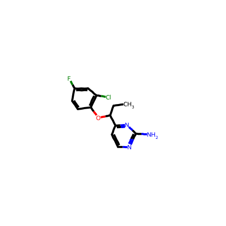 CCC(Oc1ccc(F)cc1Cl)c1ccnc(N)n1